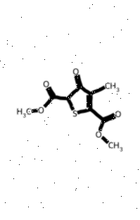 COC(=O)C1=C(C)C(=O)C(C(=O)OC)S1